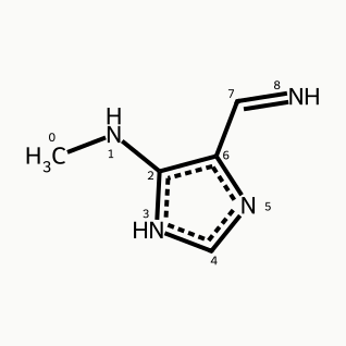 CNc1[nH]cnc1C=N